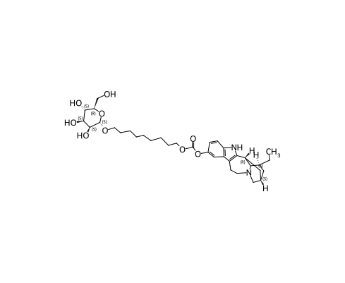 CC[C@H]1C[C@H]2C[C@H]3c4[nH]c5ccc(OC(=O)OCCCCCCCCCO[C@H]6O[C@H](CO)[C@@H](O)[C@H](O)[C@@H]6O)cc5c4CCN(C2)C13